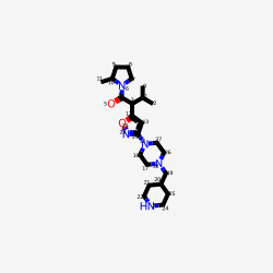 CC(C)C(C(=O)N1CCCC1C)c1cc(N2CCN(CC3CCNCC3)CC2)no1